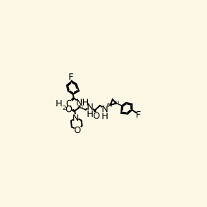 C=C(N[C@@H](CNC(=O)CN[C@@H]1C[C@H]1c1ccc(F)cc1)C(=O)N1CCOCC1)c1ccc(F)cc1